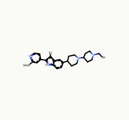 CCc1c(-c2ccnc(NC)c2)[nH]c2ccc(C3CCN(C4CCN(CC(C)C)CC4)CC3)cc12